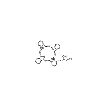 OCC(O)CCc1cccc2c3nc4nc(nc5[nH]c(nc6nc(nc([nH]3)c12)-c1ccccc1-6)c1ccccc51)-c1ccccc1-4